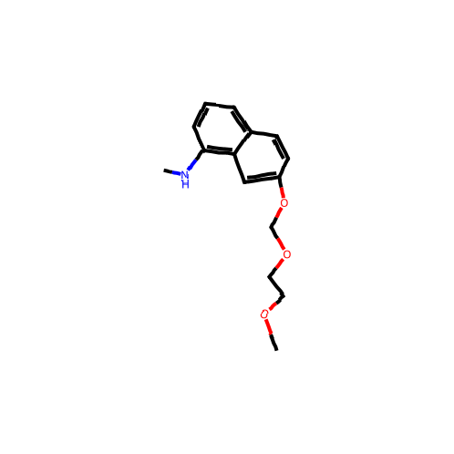 CNc1cccc2ccc(OCOCCOC)cc12